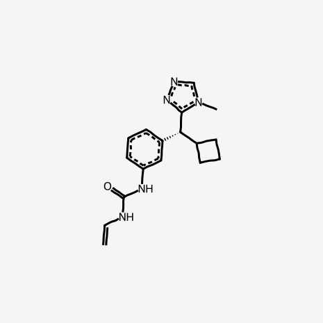 C=CNC(=O)Nc1cccc([C@H](c2nncn2C)C2CCC2)c1